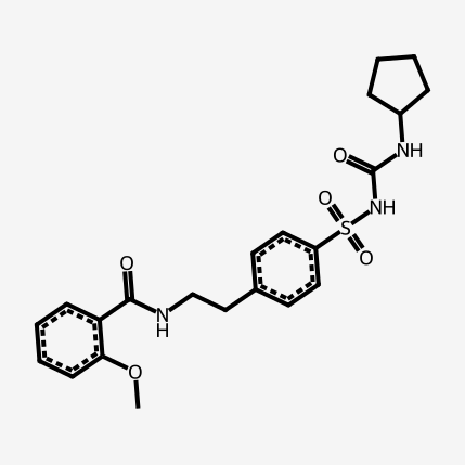 COc1ccccc1C(=O)NCCc1ccc(S(=O)(=O)NC(=O)NC2CCCC2)cc1